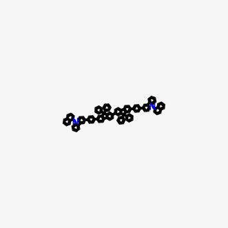 c1ccc(C2(c3ccccc3)c3cc(-c4ccc(-c5ccc6c(c5)c5ccccc5n6-c5cccc6ccccc56)cc4)ccc3-c3ccc(-c4ccc5c(c4)C(c4ccccc4)(c4ccccc4)c4cc(-c6ccc(-c7ccc8c(c7)c7ccccc7n8-c7cccc8ccccc78)cc6)ccc4-5)cc32)cc1